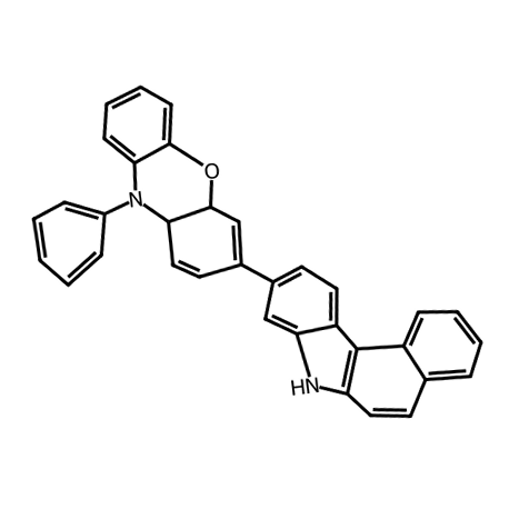 C1=CC2C(C=C1c1ccc3c(c1)[nH]c1ccc4ccccc4c13)Oc1ccccc1N2c1ccccc1